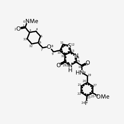 CNC(=O)C1CCC(COCc2csc3nc(C(=O)NCc4ccc(F)c(OC)c4)[nH]c(=O)c23)CC1